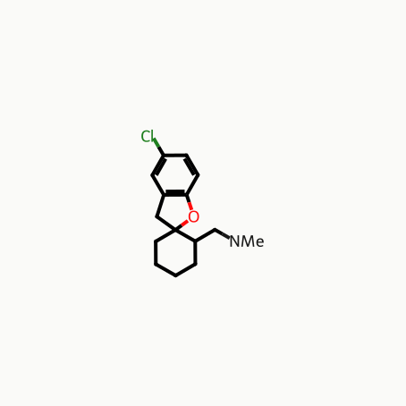 CNCC1CCCCC12Cc1cc(Cl)ccc1O2